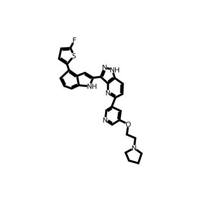 Fc1ccc(-c2cccc3[nH]c(-c4n[nH]c5ccc(-c6cncc(OCCN7CCCC7)c6)nc45)cc23)s1